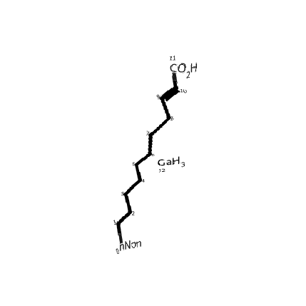 CCCCCCCCCCCCCCCCCC=CC(=O)O.[GaH3]